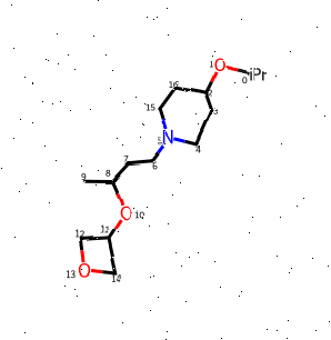 CC(C)OC1CCN(CCC(C)OC2COC2)CC1